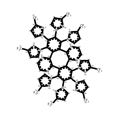 FC(F)(F)c1ccn(-c2c3c(c(-n4ccc(C(F)(F)F)n4)c(-n4ccc(C(F)(F)F)n4)c2-n2ccc(C(F)(F)F)n2)-c2nccnc2-c2c(c(-n4ccc(C(F)(F)F)n4)c(-n4ccc(C(F)(F)F)n4)c(-n4ccc(C(F)(F)F)n4)c2-n2ccc(C(F)(F)F)n2)-c2nccnc2-3)n1